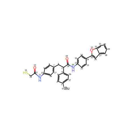 CC(C)(C)c1ccc(C(Cc2ccc(NC(=O)CS)cc2)C(=O)Nc2ccc(-c3cc4ccccc4o3)cc2)cc1